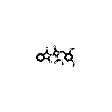 COC(=O)[C@@H]1[C@H](N2C(=O)c3ccccc3C2=O)C(=O)N1Cc1ccc(OC)cc1OC